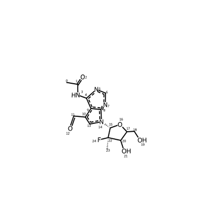 CC(=O)Nc1ncnc2c1c(C=O)cn2[C@@H]1OC(CO)C(O)[C@@]1(C)F